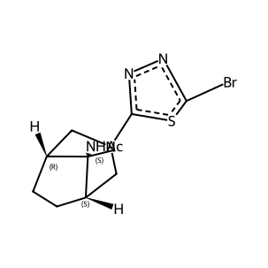 CC(=O)N[C@]1(C)[C@@H]2CC[C@H]1CN(c1nnc(Br)s1)C2